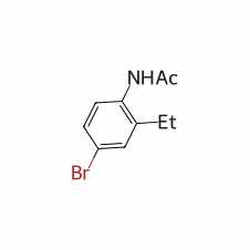 CCc1cc(Br)ccc1NC(C)=O